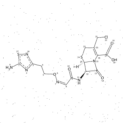 Nc1nc(CCO/N=C\C(=O)N[C@@H]2C(=O)N3C(C(=O)O)=C(CCl)CS[C@H]23)ns1